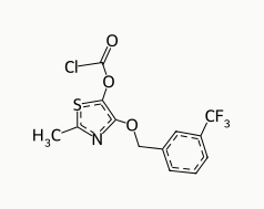 Cc1nc(OCc2cccc(C(F)(F)F)c2)c(OC(=O)Cl)s1